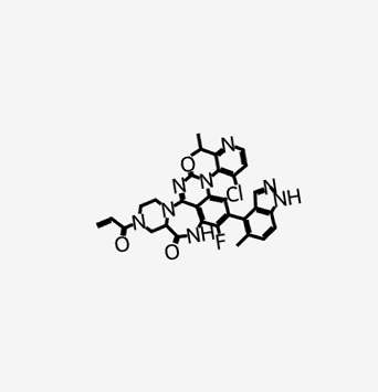 C=CC(=O)N1CCN2c3nc(=O)n(-c4c(C)ccnc4C(C)C)c4c(Cl)c(-c5c(C)ccc6[nH]ncc56)c(F)c(c34)NC(=O)C2C1